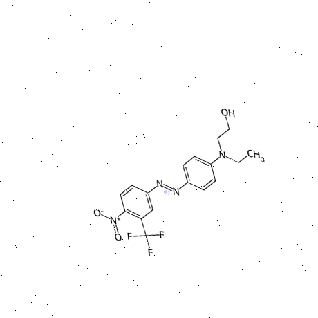 CCN(CCO)c1ccc(/N=N/c2ccc([N+](=O)[O-])c(C(F)(F)F)c2)cc1